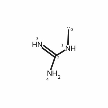 [CH]NC(=N)N